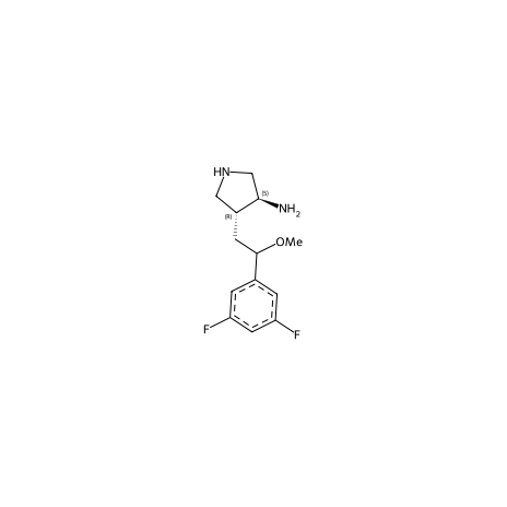 COC(C[C@@H]1CNC[C@H]1N)c1cc(F)cc(F)c1